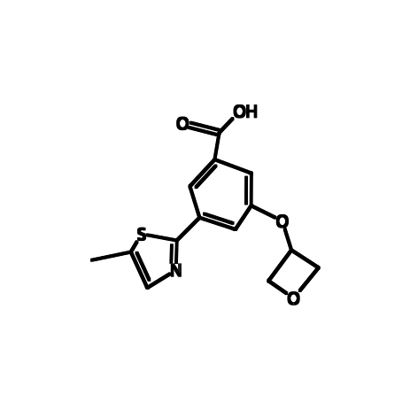 Cc1cnc(-c2cc(OC3COC3)cc(C(=O)O)c2)s1